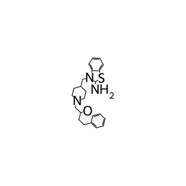 NC1Sc2ccccc2N1CC1CCN(CC2CCc3ccccc3O2)CC1